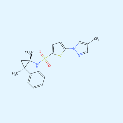 C[C@]1(c2ccccc2)C[C@@]1(NS(=O)(=O)c1ccc(-n2cc(C(F)(F)F)cn2)s1)C(=O)O